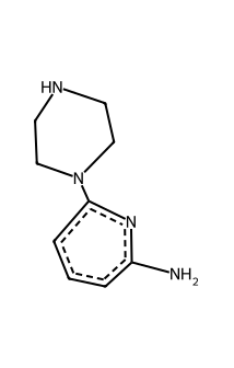 Nc1cccc(N2CCNCC2)n1